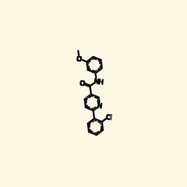 COc1cccc(NC(=O)c2ccc(-c3ccccc3Cl)nc2)c1